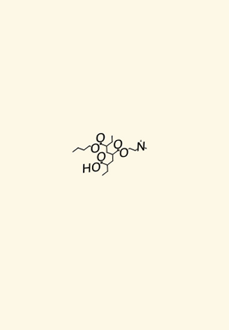 CCCCOC(=O)C(CC)CC(CC(CC)C(=O)O)C(=O)OCCN(C)C